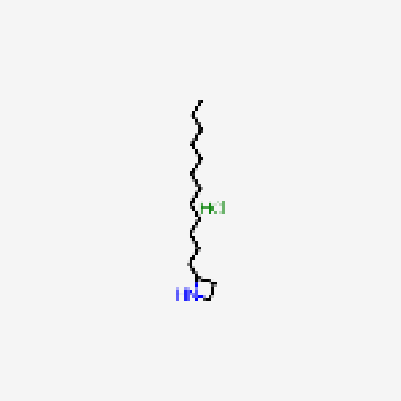 CCCCCCCCCCCCC1CCN1.Cl